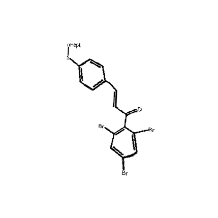 CCCCCCCSc1ccc(/C=C/C(=O)c2c(Br)cc(Br)cc2Br)cc1